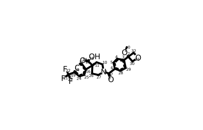 COC1(c2ccc(C(=O)N3CCC(C(=O)O)(c4ccc(C(F)(F)F)cc4)CC3)cc2)COC1